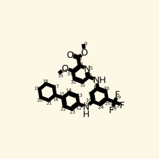 COC(=O)c1nc(Nc2cc(Nc3ccc(C4CCCCC4)cc3)cc(C(F)(F)F)c2)ccc1OC